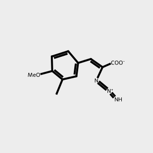 COc1ccc(C=C(N=[N+]=N)C(=O)[O-])cc1C